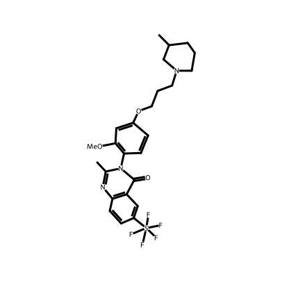 COc1cc(OCCCN2CCCC(C)C2)ccc1-n1c(C)nc2ccc(S(F)(F)(F)(F)F)cc2c1=O